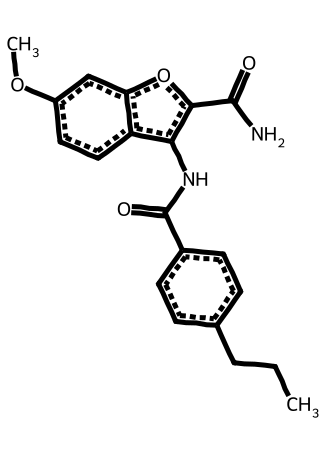 CCCc1ccc(C(=O)Nc2c(C(N)=O)oc3cc(OC)ccc23)cc1